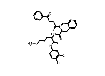 NCCCCC(NC(=O)C1Cc2ccccc2CN1C(=O)CCC(=O)c1ccccc1)C(=O)Nc1ccc(Cl)c(Cl)c1